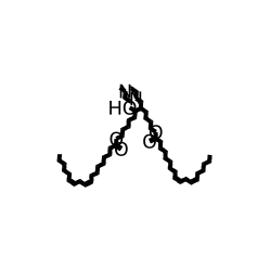 CCCCC/C=C\C/C=C\CCCCCCCC(=O)OCCCCCC(O)C(CCCCOC(=O)CCCCCCC/C=C\C/C=C\CCCCC)CN1CCN(C)CC1